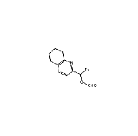 O=COC(Br)c1ccc2c(n1)CCCC2